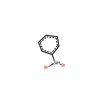 Br[SiH](Br)c1ccccc1